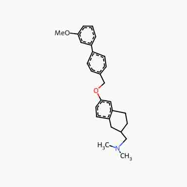 COc1cccc(-c2ccc(COc3ccc4c(c3)CCC(CN(C)C)C4)cc2)c1